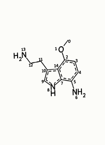 COc1ccc(N)c2[nH]cc(CCN)c12